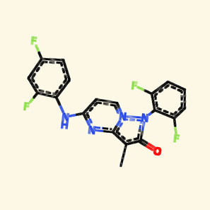 Cc1c(=O)n(-c2c(F)cccc2F)n2ccc(Nc3ccc(F)cc3F)nc12